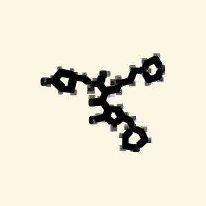 O=C(NCc1ccc(Cl)cc1)/C(=C\NCCN1CCOCC1)C(=O)c1cc(CN2CCOCC2)sc1Cl